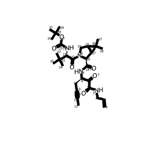 C=CCNC(=O)C(=O)[C@@H](CC#CC)NC(=O)[C@@H]1C2C(CN1C(=O)[C@@H](NC(=O)OC(C)(C)C)C(C)(C)C)C2(C)C